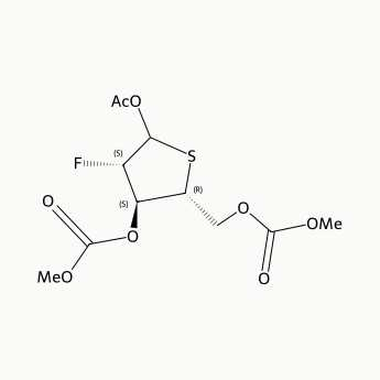 COC(=O)OC[C@H]1SC(OC(C)=O)[C@@H](F)[C@@H]1OC(=O)OC